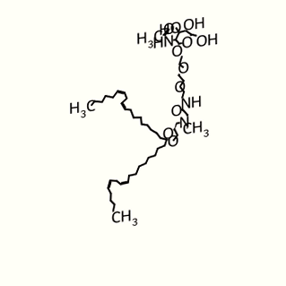 CCCCC/C=C\C/C=C\CCCCCCCCC1(CCCCCCCC/C=C\C/C=C\CCCCC)OC[C@H](CN(C)CC(=O)NCCOCCOCCOC2OC(CO)C(O)C(O)C2NC(C)=O)O1